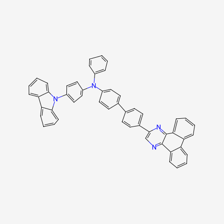 c1ccc(N(c2ccc(-c3ccc(-c4cnc5c6ccccc6c6ccccc6c5n4)cc3)cc2)c2ccc(-n3c4ccccc4c4ccccc43)cc2)cc1